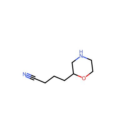 N#CCCCC1CNCCO1